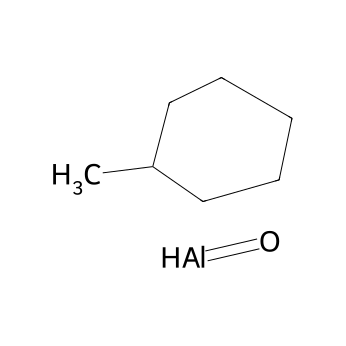 CC1CCCCC1.[O]=[AlH]